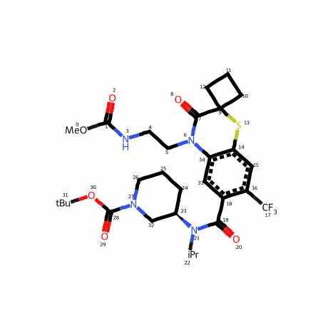 COC(=O)NCCN1C(=O)C2(CCC2)Sc2cc(C(F)(F)F)c(C(=O)N(C(C)C)[C@@H]3CCCN(C(=O)OC(C)(C)C)C3)cc21